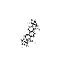 Nc1c(C(O)(C(F)(F)F)C(F)(F)F)ccc2c1ccc1c(N)c(C(O)(C(F)(F)F)C(F)(F)F)ccc12